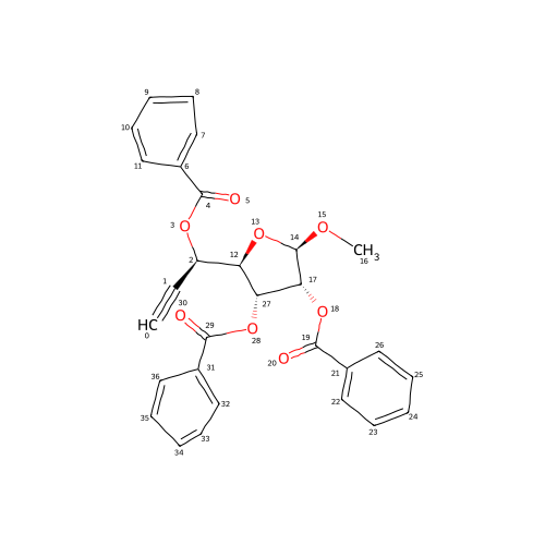 C#C[C@@H](OC(=O)c1ccccc1)[C@H]1O[C@@H](OC)[C@H](OC(=O)c2ccccc2)[C@@H]1OC(=O)c1ccccc1